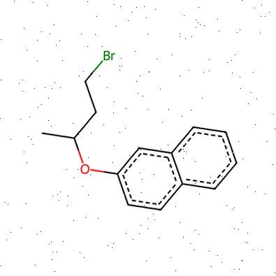 CC(CCBr)Oc1ccc2ccccc2c1